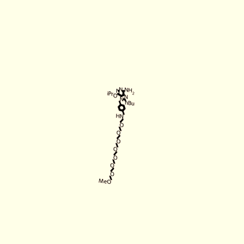 CCCCc1nc2c(N)nnc(OC(C)C)c2n1Cc1ccc(CNCCOCCOCCOCCOCCOCCOCCOCCOC)cc1